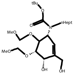 CCCCCCCN(C(=O)OC(C)(C)C)[C@@H]1C=C(CO)[C@H](O)[C@H](OCOC)C1OCOC